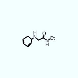 CCNC(=O)CNC1C=CC=CC1